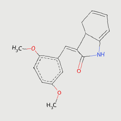 COc1ccc(OC)c(C=C2C(=O)NC3=CC=CCC32)c1